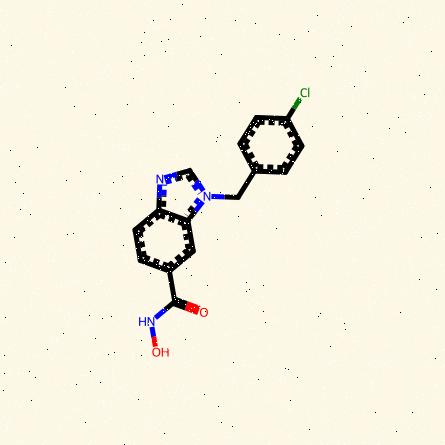 O=C(NO)c1ccc2ncn(Cc3ccc(Cl)cc3)c2c1